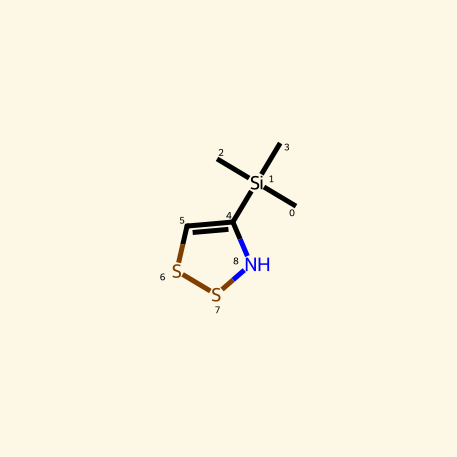 C[Si](C)(C)C1=CSSN1